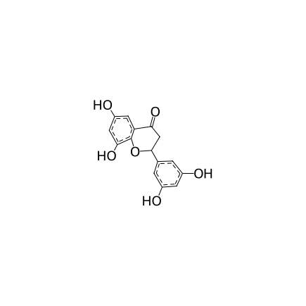 O=C1CC(c2cc(O)cc(O)c2)Oc2c(O)cc(O)cc21